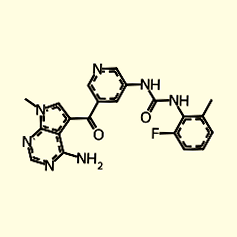 Cc1cccc(F)c1NC(=O)Nc1cncc(C(=O)c2cn(C)c3ncnc(N)c23)c1